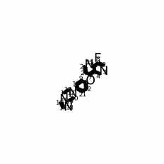 Fc1cncc2c(Oc3ccc(N4CCn5ccnc5C4)cc3)ccnc12